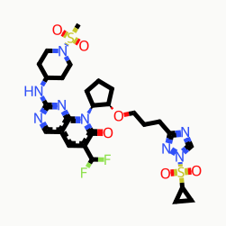 CS(=O)(=O)N1CCC(Nc2ncc3cc(C(F)F)c(=O)n([C@H]4CCC[C@@H]4OCCCc4ncn(S(=O)(=O)C5CC5)n4)c3n2)CC1